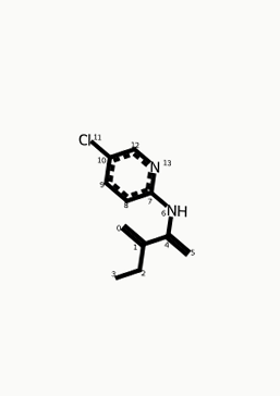 C=C(CC)C(=C)Nc1ccc(Cl)cn1